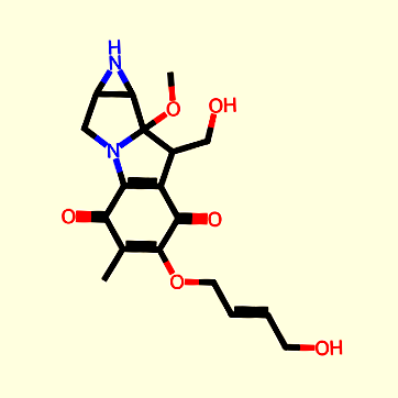 COC12C(CO)C3=C(C(=O)C(C)=C(OCC=CCO)C3=O)N1CC1NC12